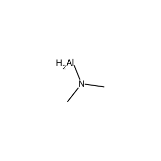 C[N](C)[AlH2]